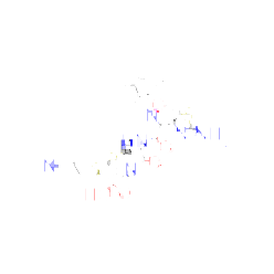 N#CC=CSCC1(C(=O)O)CS[C@@H]2C(NC(=O)C(=NOC3C=CCC3)c3csc(N)n3)C(=O)N2C1